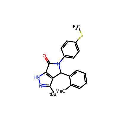 COc1ccccc1C1c2c(C(C)(C)C)n[nH]c2C(=O)N1c1ccc(SC(F)(F)F)cc1